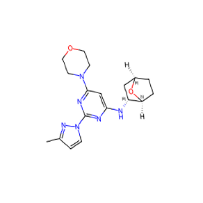 Cc1ccn(-c2nc(N[C@@H]3C[C@H]4CC[C@@H]3O4)cc(N3CCOCC3)n2)n1